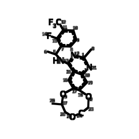 Cc1nc(NC(C)c2cccc(C(F)(F)F)c2F)c2cc3c(cc2n1)OCCOCC(C)O3